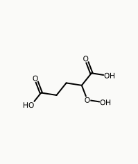 O=C(O)CCC(OO)C(=O)O